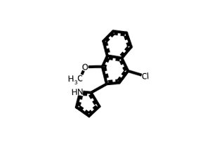 COc1c(-c2ccc[nH]2)cc(Cl)c2ccccc12